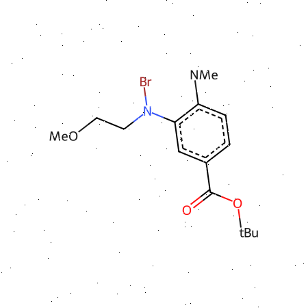 CNc1ccc(C(=O)OC(C)(C)C)cc1N(Br)CCOC